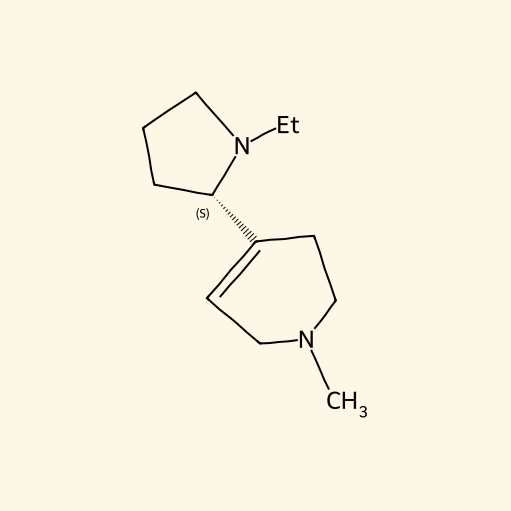 CCN1CCC[C@H]1C1=CCN(C)CC1